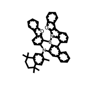 Cc1cc2c(cc1N1c3cc4ccccc4c4c3B(c3c1ccc1c3oc3ccccc31)n1c3oc5ccccc5c3c3cccc-4c31)C(C)(C)CCC2(C)C